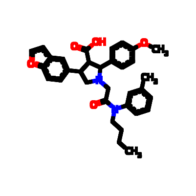 CCCCN(C(=O)CN1CC(c2ccc3occc3c2)C(C(=O)O)C1c1ccc(OC)cc1)c1cccc(C)c1